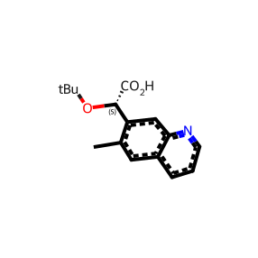 Cc1cc2cccnc2cc1[C@H](OC(C)(C)C)C(=O)O